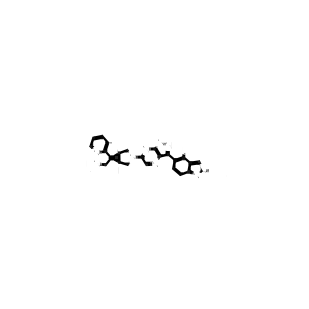 Cn1cc2c(Cl)c(-c3n[nH]c4nc(N5C[C@@H]6[C@H](C5)C6(CN)c5ccccn5)cnc34)ccc2n1